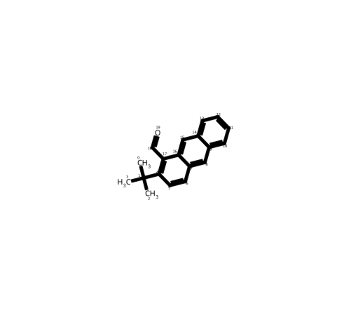 CC(C)(C)c1ccc2cc3ccccc3cc2c1C=O